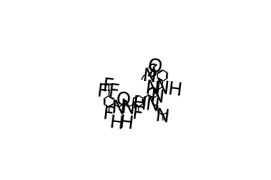 CCN=S(C)(=O)c1cccc(Nc2ncc(-c3ccc(NC(=O)Nc4cc(C(F)(F)F)ccc4F)c(F)c3)c(NCCN(C)C)n2)c1